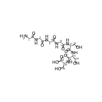 NCC(=O)NCC(=O)NCC(=O)NCC(=O)N[C@@H](CO)C(=O)N[C@@H](CO)C(=O)N[C@@H](CO)C(=O)O